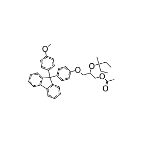 CCC(C)(CC)OC(COC(C)=O)COc1ccc(C2(c3ccc(OC)cc3)c3ccccc3-c3ccccc32)cc1